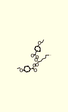 [CH2]CCCC[C](OOC(=O)c1ccc(OCC)cc1)OOC(=O)c1ccc(OCC)cc1